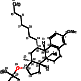 C=C[C@@]12CCc3cc(OC)ccc3[C@H]1[C@@H](CCCCCCC=O)C[C@]1(C)[C@@H](O[Si](C)(C)C(C)(C)C)CC[C@H]12